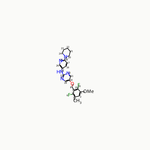 COc1cc(C)c(F)c(COc2cnc(Nc3ccc(N4CCCCC4)nc3)nc2)c1F